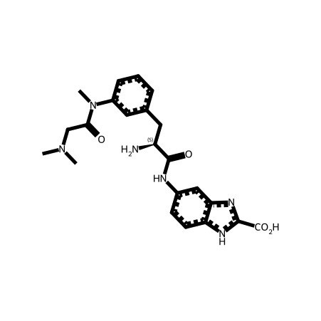 CN(C)CC(=O)N(C)c1cccc(C[C@H](N)C(=O)Nc2ccc3[nH]c(C(=O)O)nc3c2)c1